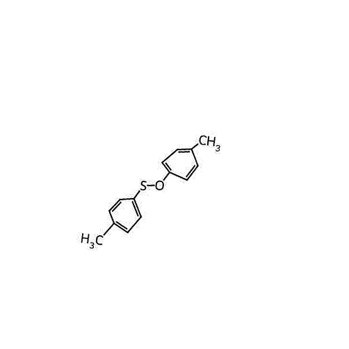 Cc1ccc(OSc2ccc(C)cc2)cc1